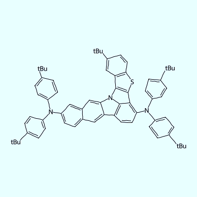 CC(C)(C)c1ccc(N(c2ccc(C(C)(C)C)cc2)c2ccc3cc4c5ccc(N(c6ccc(C(C)(C)C)cc6)c6ccc(C(C)(C)C)cc6)c6c7sc8ccc(C(C)(C)C)cc8c7n(c4cc3c2)c56)cc1